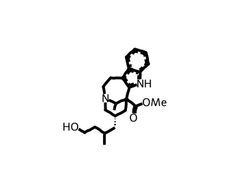 COC(=O)C12C[C@H](CC(C)CCO)CN(CCc3c1[nH]c1ccccc31)C2C